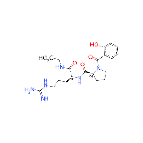 N=C(N)NCCC[C@H](NC(=O)[C@@H]1CCCN1C(=O)c1ccccc1O)C(=O)NCC(=O)O